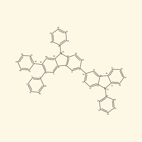 c1ccc(-c2cc3c4cc(-c5ccc6c(c5)c5ccccc5n6-c5ccccc5)ccc4n(-c4ccccc4)c3cc2-c2ccccc2)cc1